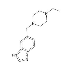 CCN1CCN(Cc2ccc3nc[nH]c3c2)CC1